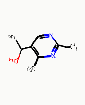 CCCC(O)c1cnc(C)nc1C